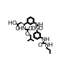 CCCNC(=O)Nc1cccc(S(=O)(=O)Nc2cccc([C@H](CC(=O)O)NC(=O)OCC(C)C)c2)c1